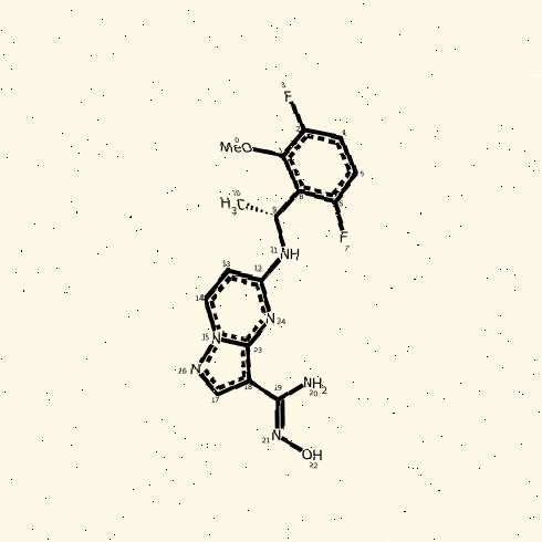 COc1c(F)ccc(F)c1[C@@H](C)Nc1ccn2ncc(/C(N)=N/O)c2n1